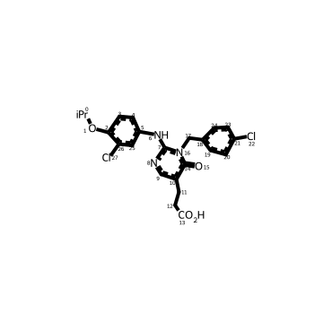 CC(C)Oc1ccc(Nc2ncc(CCC(=O)O)c(=O)n2Cc2ccc(Cl)cc2)cc1Cl